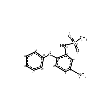 CS(=O)(=O)Nc1cc([N+](=O)[O-])ccc1Oc1ccccc1